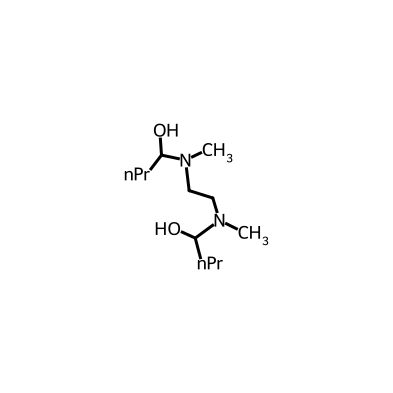 CCCC(O)N(C)CCN(C)C(O)CCC